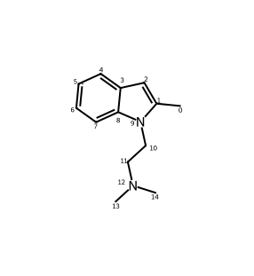 Cc1cc2c[c]ccc2n1CCN(C)C